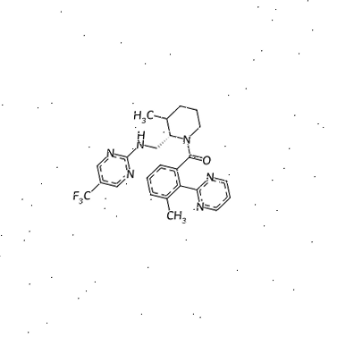 Cc1cccc(C(=O)N2CCCC(C)[C@H]2CNc2ncc(C(F)(F)F)cn2)c1-c1ncccn1